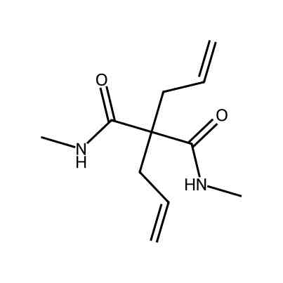 C=CCC(CC=C)(C(=O)NC)C(=O)NC